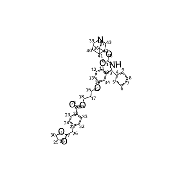 O=C(NC(c1ccccc1)c1cccc(OCCCOC(=O)c2ccc(CC3OCCO3)cc2)c1)OC1CN2CCC1CC2